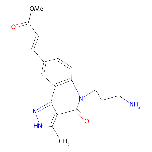 COC(=O)C=Cc1ccc2c(c1)c1n[nH]c(C)c1c(=O)n2CCCN